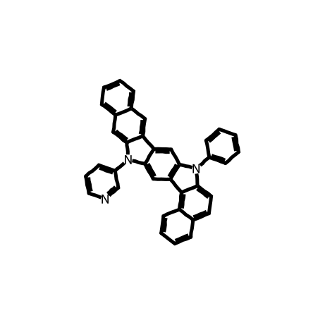 c1ccc(-n2c3cc4c5cc6ccccc6cc5n(-c5cccnc5)c4cc3c3c4ccccc4ccc32)cc1